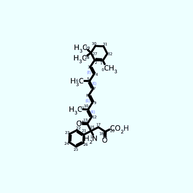 CC1=C(/C=C/C(C)=C/C=C/C(C)=C/C(=O)C(N)(CC(=O)C(=O)O)c2ccccc2)C(C)(C)CCC1